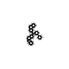 c1ccc(-c2cccc(N(c3ccc4c(ccc5sc6ccccc6c54)c3)c3ccc4ccc5ccccc5c4c3)c2)cc1